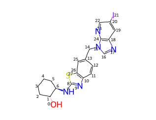 O[C@@H]1CCCC[C@H]1Nc1nc2ccc(Cn3cnc4cc(I)cnc43)cc2s1